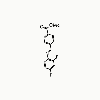 COC(=O)c1ccc(C=Nc2ccc(F)cc2F)cc1